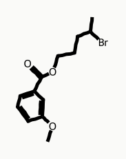 COc1cccc(C(=O)OCCCC(C)Br)c1